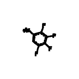 Fc1cc([As])c(F)c(F)c1F